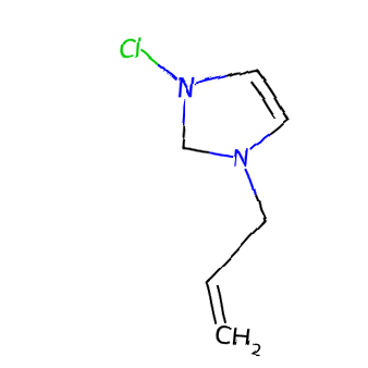 C=CCN1C=CN(Cl)C1